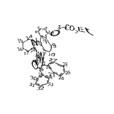 CCOC(=O)COc1cccc2c1CCCC2N1CCCCC1c1nc(-c2ccccc2)c(-c2ccccc2)o1